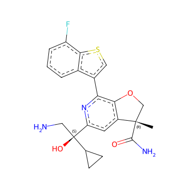 C[C@]1(C(N)=O)COc2c1cc([C@@](O)(CN)C1CC1)nc2-c1csc2c(F)cccc12